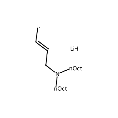 [CH2]C=CCN(CCCCCCCC)CCCCCCCC.[LiH]